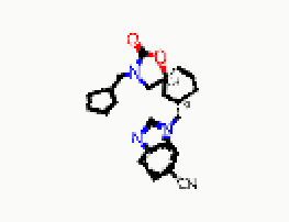 N#Cc1ccc2ncn(C[C@H]3CCC[C@]4(C3)CN(CC3CCCC3)C(=O)O4)c2c1